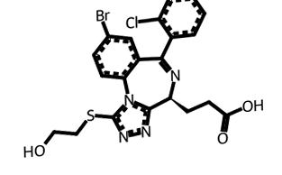 O=C(O)CC[C@@H]1N=C(c2ccccc2Cl)c2cc(Br)ccc2-n2c(SCCO)nnc21